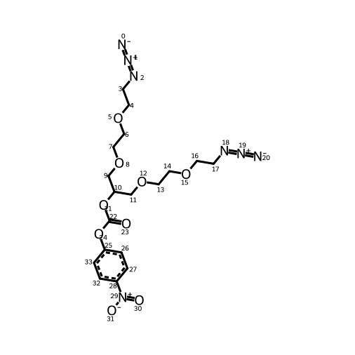 [N-]=[N+]=NCCOCCOCC(COCCOCCN=[N+]=[N-])OC(=O)Oc1ccc([N+](=O)[O-])cc1